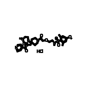 COc1cc(C)c(S(=O)(=O)N(C)CCOCC(=O)N2CCC(CNC(=O)c3ccncc3)(N3CCN(C)CC3)CC2)c(C)c1.Cl